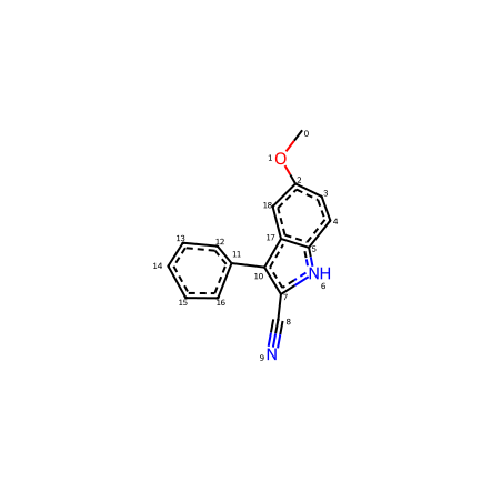 COc1ccc2[nH]c(C#N)c(-c3ccccc3)c2c1